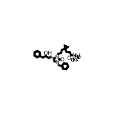 CS(=O)(=O)NC(=O)CCC1(CCCN2C(=O)N(Cc3ccccc3)C[C@@H]2/C=C/C(O)Cc2ccccc2)CC1